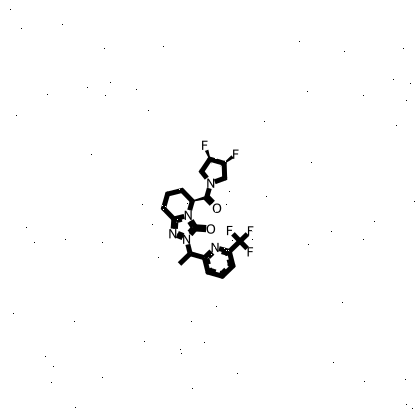 CC(c1cccc(C(F)(F)F)n1)n1nc2n(c1=O)[C@H](C(=O)N1C[C@@H](F)[C@@H](F)C1)CCC2